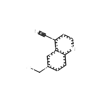 N#Cc1ccnc2ccc(CCl)cc12